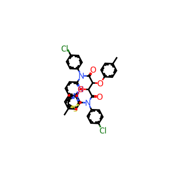 Cc1ccc(OC(C(=O)N(c2ccc(Cl)cc2)c2ccccn2)C(Oc2ccc(C)cc2)C(=O)N(c2ccc(Cl)cc2)c2nccs2)cc1